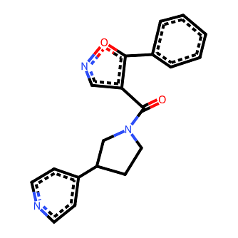 O=C(c1cnoc1-c1ccccc1)N1CCC(c2ccncc2)C1